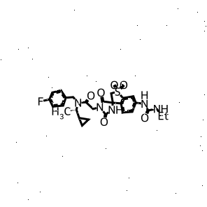 CCNC(=O)Nc1ccc2c(c1)S(=O)(=O)CC21NC(=O)N(CC(=O)N(Cc2ccc(F)cc2)[C@@H](C)C2CC2)C1=O